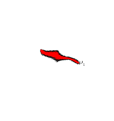 CC(C)(C)OC(=O)CCOCCOCCOCCOCCOCCOCCOCCOCCOCCOCCOCCOCCOCCOCCOCCOCCOCCOCCOCCOCCOCCOCCOCCOCCOCCOCCOCCOCCOCCOCCOCCOCCOCCOCCOCCOCCN